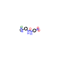 O=C(Nc1ccc([N+](=O)[O-])cc1)Nc1cccc(C2=NCCN2Cl)c1